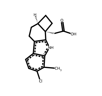 Cc1c(Cl)ccc2c3c([nH]c12)[C@]1(CC(=O)O)CC[C@@H]1CC3